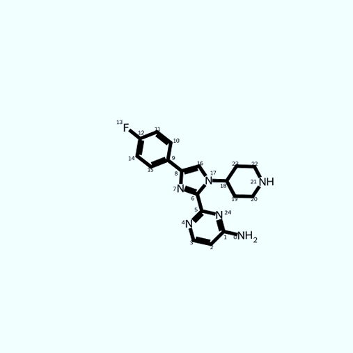 Nc1ccnc(-c2nc(-c3ccc(F)cc3)cn2C2CCNCC2)n1